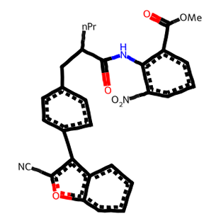 CCCC(Cc1ccc(-c2c(C#N)oc3ccccc23)cc1)C(=O)Nc1c(C(=O)OC)cccc1[N+](=O)[O-]